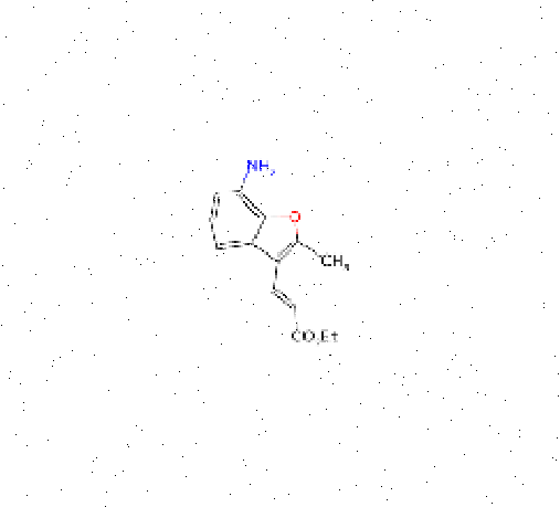 CCOC(=O)C=Cc1c(C)oc2c(N)cccc12